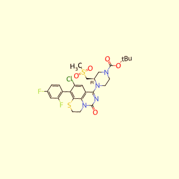 CC(C)(C)OC(=O)N1CCN(c2nc(=O)n3c4c(c(-c5ccc(F)cc5F)c(Cl)cc24)SCC3)[C@@H](CS(C)(=O)=O)C1